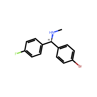 CN[C@H](c1ccc(F)cc1)c1ccc(Br)cc1